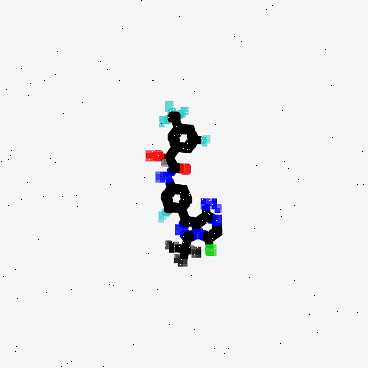 [2H]C([2H])([2H])c1nc(-c2ccc(NC(=O)[C@H](O)c3cc(F)cc(C(F)(F)F)c3)cc2F)c2c(N)ncc(Cl)n12